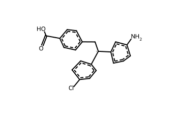 Nc1cccc([C](Cc2ccc(C(=O)O)cc2)c2ccc(Cl)cc2)c1